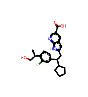 CC(CO)c1ccc(C(Cc2cc3cc(C(=O)O)cnc3[nH]2)C2CCCC2)cc1F